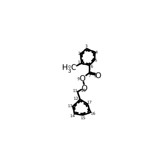 Cc1ccccc1C(=O)OOCc1ccccc1